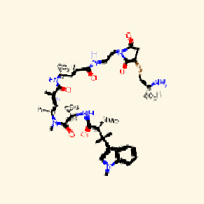 CN[C@H](C(=O)N[C@H](C(=O)N(C)[C@H](/C=C(\C)C(=O)N[C@@H](CCC(=O)NCCN1C(=O)CC(SC[C@H](N)C(=O)O)C1=O)C(=O)O)C(C)C)C(C)(C)C)C(C)(C)c1cn(C)c2ccccc12